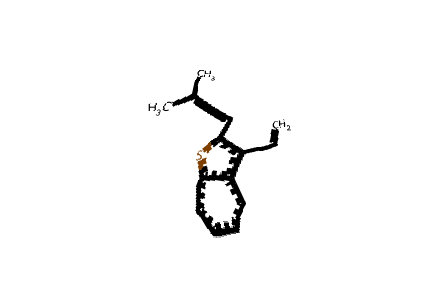 C=Cc1c(C=C(C)C)sc2ccccc12